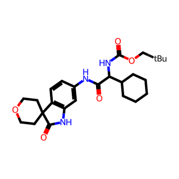 CC(C)(C)COC(=O)NC(C(=O)Nc1ccc2c(c1)NC(=O)C21CCOCC1)C1CCCCC1